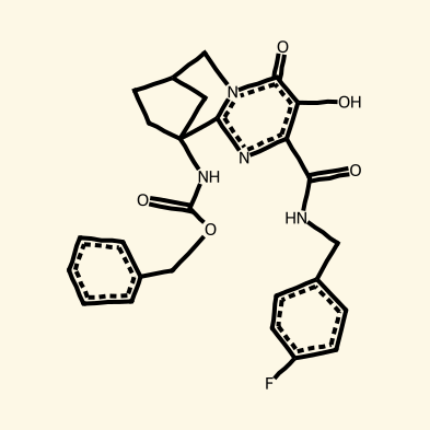 O=C(NC12CCC(Cn3c1nc(C(=O)NCc1ccc(F)cc1)c(O)c3=O)C2)OCc1ccccc1